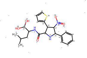 CC(C)CC(NC(=O)C1NC(c2ccccc2)C([N+](=O)[O-])C1c1cccs1)B(O)O